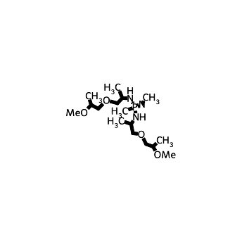 CN=P(C)(NC(C)COCC(C)OC)NC(C)COCC(C)OC